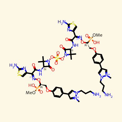 COP(=O)(O)[C@H](COc1ccc(-c2cn(CCCN)[n+](C)c2)cc1)O/N=C(\C(=O)N[C@@H]1C(=O)N(OS(=O)(=O)ON2C(=O)[C@@H](NC(=O)/C(=N\O[C@@H](COc3ccc(-c4cn(CCCN)[n+](C)c4)cc3)P(=O)(O)OC)c3csc(N)n3)C2(C)C)C1(C)C)c1csc(N)n1